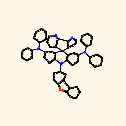 c1ccc(N(c2ccccc2)c2ccc3c(c2)C2(c4cc(N(c5ccccc5)c5ccccc5)ccc4N3c3ccc4oc5ccccc5c4c3)c3cccnc3-c3ncccc32)cc1